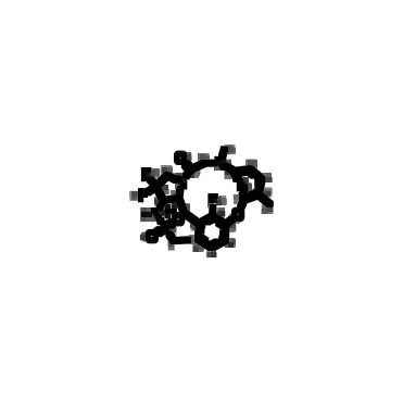 CCS(=O)(=O)N[C@@H]1[C@@H]2Cc3cccc(c3F)Oc3nc(ccc3C)N(C)CC(=O)N2CC1(F)F